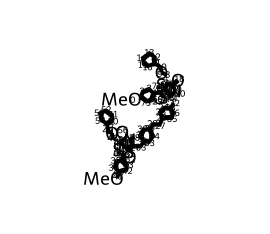 COc1ccc(C2S[C@@]3(COCc4ccccc4)C(=O)N(C)[C@@](Cc4ccc(CCc5ccc(CC67SC(c8ccc(OC)cc8)S[C@](COCc8ccccc8)(C(=O)N6C)N(C)C7=O)cc5)cc4)(S2)C(=O)N3C)cc1